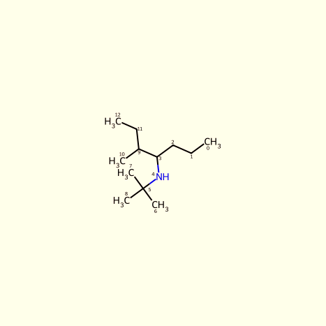 CCCC(NC(C)(C)C)C(C)CC